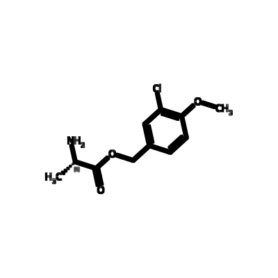 COc1ccc(COC(=O)[C@H](C)N)cc1Cl